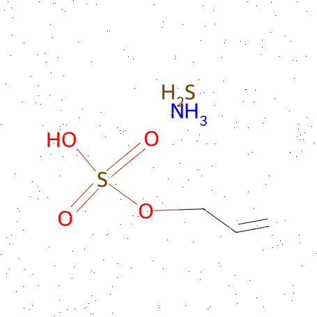 C=CCOS(=O)(=O)O.N.S